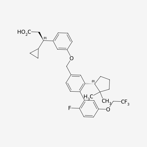 CC1(C)CCC[C@H]1c1cc(COc2cccc([C@H](CC(=O)O)C3CC3)c2)ccc1-c1cc(OCC(F)(F)F)ccc1F